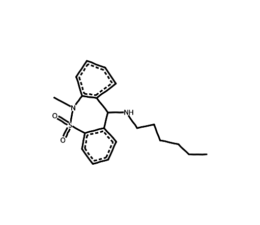 CCCCCCNC1c2ccccc2N(C)S(=O)(=O)c2ccccc21